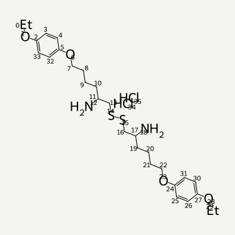 CCOc1ccc(OCCCCC(N)CSSCC(N)CCCCOc2ccc(OCC)cc2)cc1.Cl.Cl